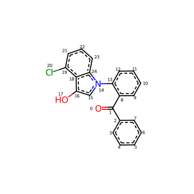 O=C(c1ccccc1)c1ccccc1-n1cc(O)c2c(Cl)cccc21